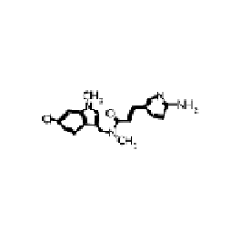 CN(Cc1cn(C)c2cc(Cl)ccc12)C(=O)C=Cc1ccc(N)nc1